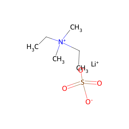 CC[N+](C)(C)CC.O=S(=O)([O-])[O-].[Li+]